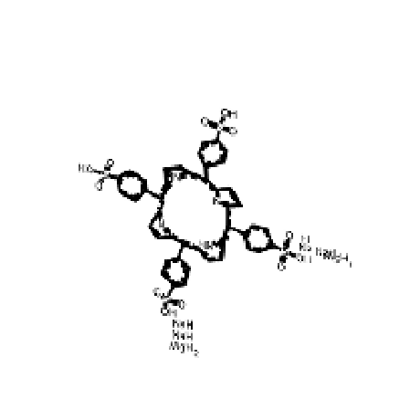 O=S(=O)(O)c1ccc(-c2c3nc(c(-c4ccc(S(=O)(=O)O)cc4)c4ccc([nH]4)c(-c4ccc(S(=O)(=O)O)cc4)c4nc(c(-c5ccc(S(=O)(=O)O)cc5)c5ccc2[nH]5)C=C4)C=C3)cc1.[MgH2].[MgH2].[NaH].[NaH].[NaH].[NaH]